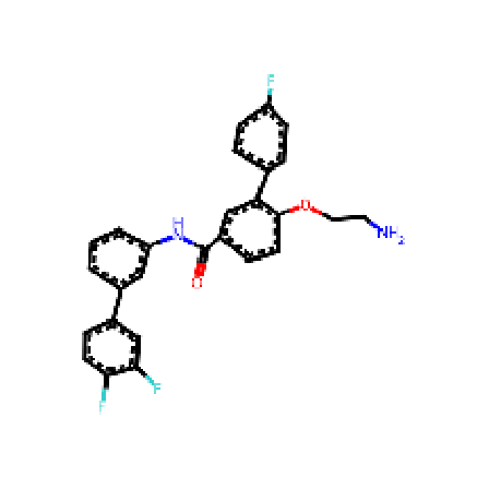 NCCOc1ccc(C(=O)Nc2cccc(-c3ccc(F)c(F)c3)c2)cc1-c1ccc(F)cc1